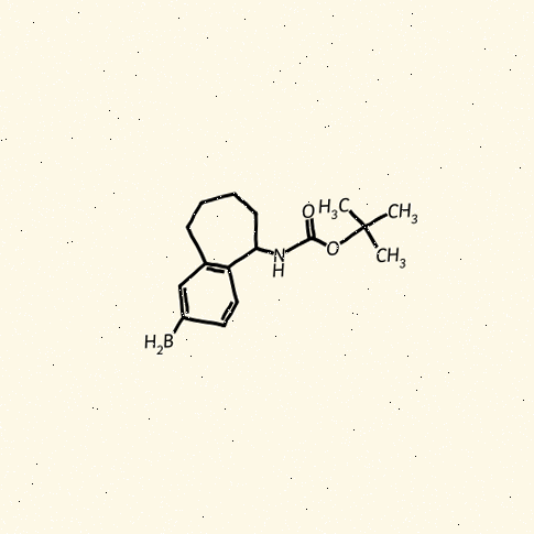 Bc1ccc2c(c1)CCCCC2NC(=O)OC(C)(C)C